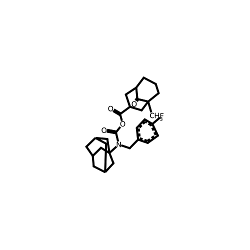 CC12CCCC(CC(C(=O)OC(=O)N(Cc3ccc(F)cc3)C34CC5CC(CC(C5)C3)C4)C1)C2=O